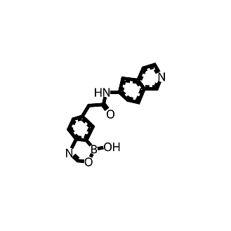 O=C(Cc1ccc2c(c1)B(O)OC=N2)Nc1ccc2cnccc2c1